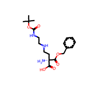 CC(C)(C)OC(=O)NCCNCC[C@](N)(C(=O)O)C(=O)OCc1ccccc1